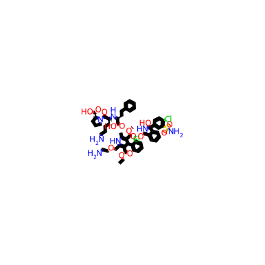 CCOC(=O)C1=C(COCCN)NC(C)=C(C(=O)OC)C1c1ccccc1Cl.NCCCC[C@H](N[C@@H](CCc1ccccc1)C(=O)O)C(=O)N1CCC[C@H]1C(=O)O.NS(=O)(=O)c1cc(C2(O)NC(=O)c3ccccc32)ccc1Cl